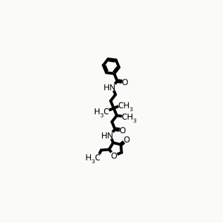 CCC1OCC(=O)C1NC(=O)CC(C)C(C)(C)CCNC(=O)c1ccccc1